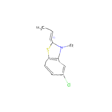 C/C=C1\Sc2ccc(Cl)cc2N1CC